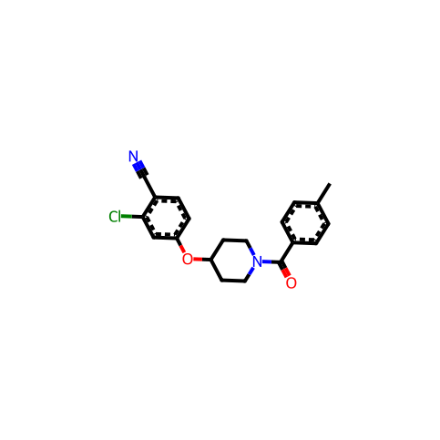 Cc1ccc(C(=O)N2CCC(Oc3ccc(C#N)c(Cl)c3)CC2)cc1